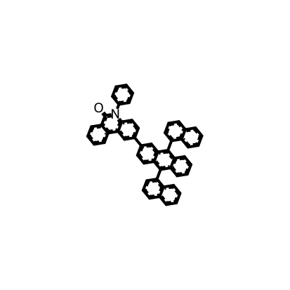 O=c1c2ccccc2c2cc(-c3ccc4c(-c5cccc6ccccc56)c5ccccc5c(-c5cccc6ccccc56)c4c3)ccc2n1-c1ccccc1